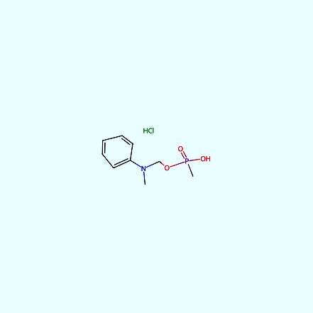 CN(COP(C)(=O)O)c1ccccc1.Cl